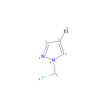 CCc1cnn(CF)c1